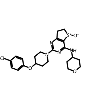 [O-][S+]1CCc2nc(N3CCC(Oc4ccc(Cl)cc4)CC3)nc(NC3CCOCC3)c21